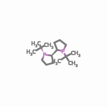 CC(C)(C)P1CCCC1[C@H]1CCC[P@]1C(C)(C)C